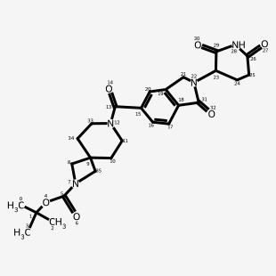 CC(C)(C)OC(=O)N1CC2(CCN(C(=O)c3ccc4c(c3)CN(C3CCC(=O)NC3=O)C4=O)CC2)C1